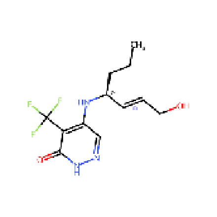 CCC[C@@H](/C=C/CO)Nc1cn[nH]c(=O)c1C(F)(F)F